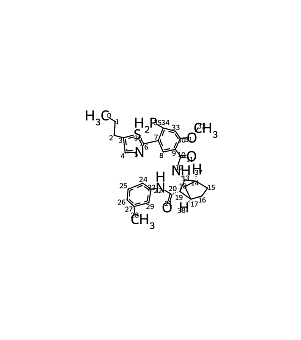 CCCc1cnc(-c2cc(C(=O)N[C@@H]3[C@H]4CC[C@H](C4)[C@@H]3C(=O)Nc3cccc(C)c3)c(OC)cc2P)s1